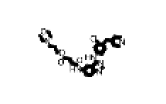 O=C(C=CC(=O)OCCCN1CCOCC1)Nc1ccc2ncnc(Nc3ccc(Cc4ccncc4)c(Cl)c3)c2c1